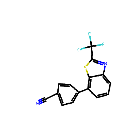 N#Cc1ccc(-c2[c]ccc3nc(C(F)(F)F)sc23)cc1